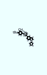 Cc1cc(-c2noc(-c3ccc4c(ccn4C4CCCC4)c3)n2)ccc1C(C)(C)C